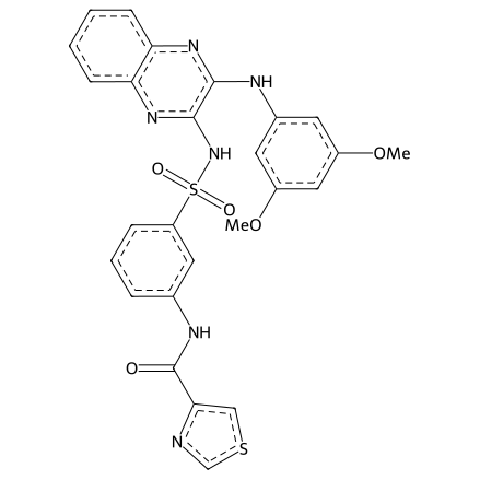 COc1cc(Nc2nc3ccccc3nc2NS(=O)(=O)c2cccc(NC(=O)c3cscn3)c2)cc(OC)c1